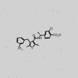 Cc1sc(C)c(C(=O)N[C@@H](C)c2ccc(C(=O)O)c(Cl)c2)c1Cc1cccc(C(F)(F)F)c1